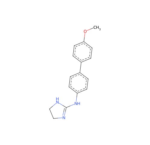 COc1ccc(-c2ccc(NC3=NCCN3)cc2)cc1